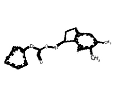 Cc1cc2c(cc1C)/C(=N/OC(=O)Oc1ccccc1)CC2